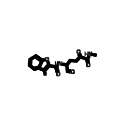 CNC(=O)C(=O)CCC(C=O)NC(=O)c1oc2ccccc2c1C